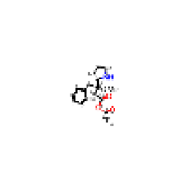 CO[C@](Cc1ccccc1)([C@@H]1CCCN1)[C@@H](C)C(=O)OC(=O)C(F)(F)F